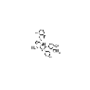 Cn1cc(-c2nc(C(=O)NCc3c(F)cccc3F)c(N)nc2-c2ccc(F)cc2)ccc1=O